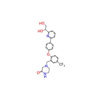 O=C1CN(Cc2cc(C(F)(F)F)ccc2Oc2ccc(-c3cccc(C(O)CO)n3)cc2)CCN1